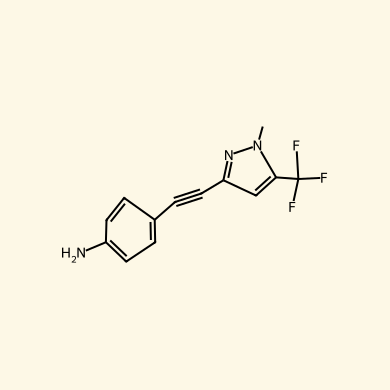 Cn1nc(C#Cc2ccc(N)cc2)cc1C(F)(F)F